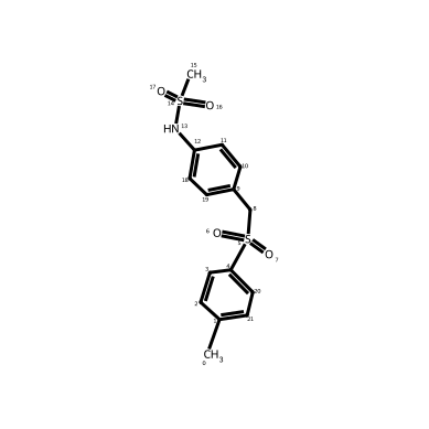 Cc1ccc(S(=O)(=O)Cc2ccc(NS(C)(=O)=O)cc2)cc1